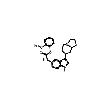 CCCOc1ccccc1OC(=O)Nc1ccc2[nH]cc(C3CCN4CCCC4C3)c2c1